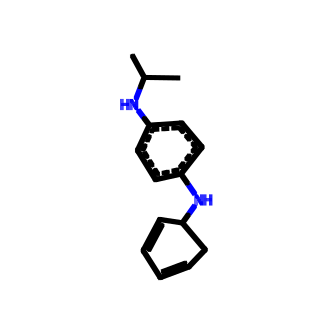 CC(C)Nc1ccc(NC2C=CC=CC2)cc1